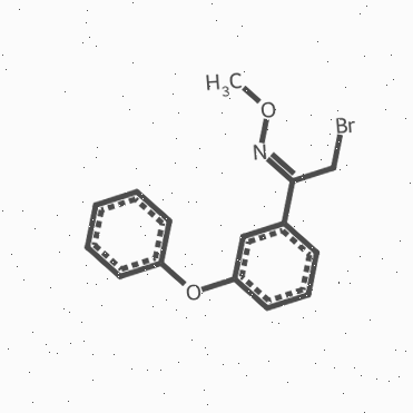 CON=C(CBr)c1cccc(Oc2ccccc2)c1